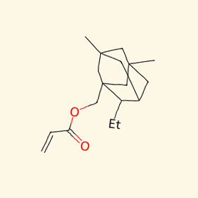 C=CC(=O)OCC12CC3(C)CC(CC(C)(C3)C1)C2CC